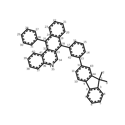 CC1(C)c2ccccc2-c2ccc(-c3cccc(-c4c5ccccc5c(-c5ccccc5)c5c4cnc4ccccc45)c3)cc21